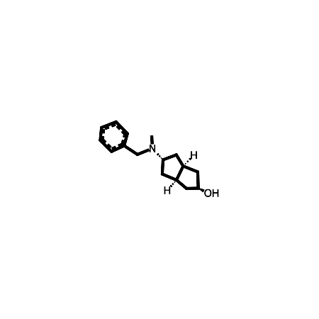 CN(Cc1ccccc1)[C@@H]1C[C@H]2C[C@@H](O)C[C@H]2C1